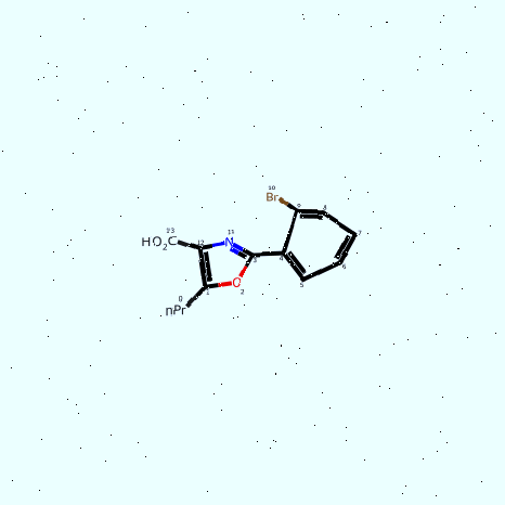 CCCc1oc(-c2ccccc2Br)nc1C(=O)O